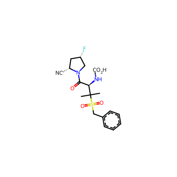 CC(C)([C@H](NC(=O)O)C(=O)N1C[C@@H](F)C[C@H]1C#N)S(=O)(=O)Cc1ccccc1